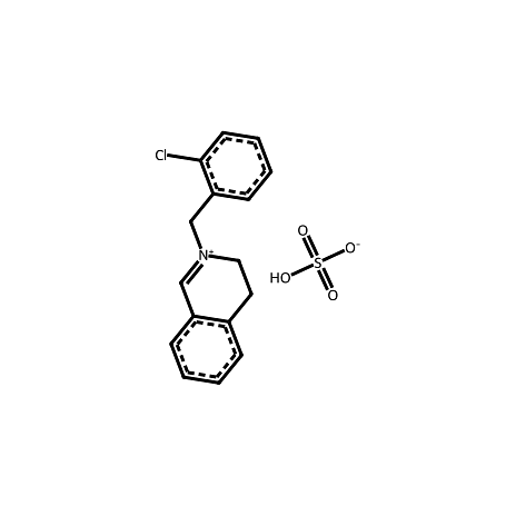 Clc1ccccc1C[N+]1=Cc2ccccc2CC1.O=S(=O)([O-])O